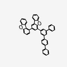 c1ccc(-c2ccc(-c3cc(-c4ccccc4)cc(-c4cc(-c5cccc6oc7ccccc7c56)cc5c4oc4ccccc45)c3)cc2)cc1